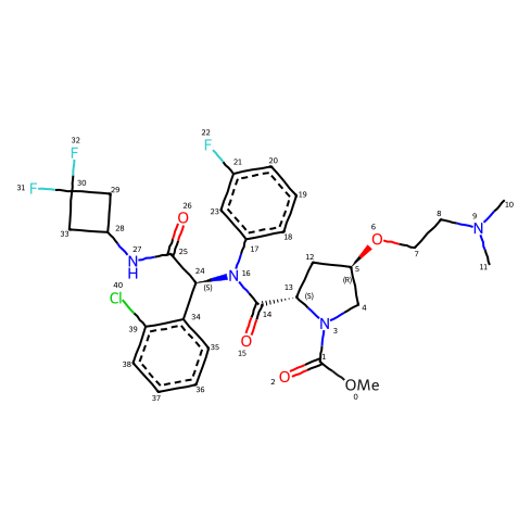 COC(=O)N1C[C@H](OCCN(C)C)C[C@H]1C(=O)N(c1cccc(F)c1)[C@H](C(=O)NC1CC(F)(F)C1)c1ccccc1Cl